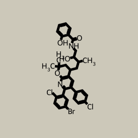 CC(CC1CC(C)(C)Oc2nc(-c3cc(Br)ccc3Cl)c(-c3ccc(Cl)cc3)cc21)C(O)CNC(=O)c1ccccc1O